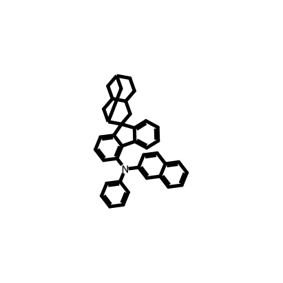 c1ccc(N(c2ccc3ccccc3c2)c2cccc3c2-c2ccccc2C32CC3CCC4CC3CC2C4)cc1